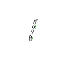 CCCC1CCC(c2ccc(-c3ccc(CCc4ccc(CC)c(F)c4)cc3)c(F)c2F)CC1